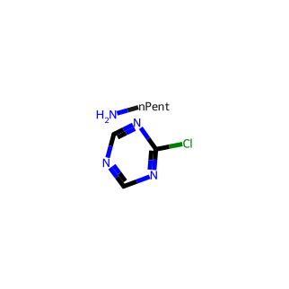 CCCCCN.Clc1ncncn1